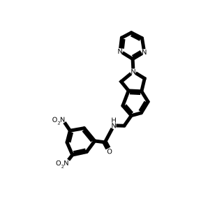 O=C(NCc1ccc2c(c1)CN(c1ncccn1)C2)c1cc([N+](=O)[O-])cc([N+](=O)[O-])c1